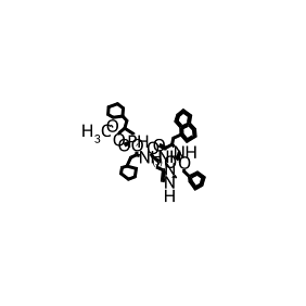 COC(=O)C(CC1CCCCC1)C[PH](=O)OC(CC1CCCCC1)NC(=O)[C@H](Cc1c[nH]cn1)NC(=O)C(Cc1cccc2ccccc12)NC(=O)OCc1ccccc1